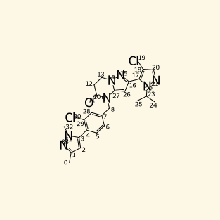 Cc1cc(-c2ccc(CN3C(=O)CCn4nc(-c5c(Cl)cnn5C(C)C)cc43)cc2Cl)n(C)n1